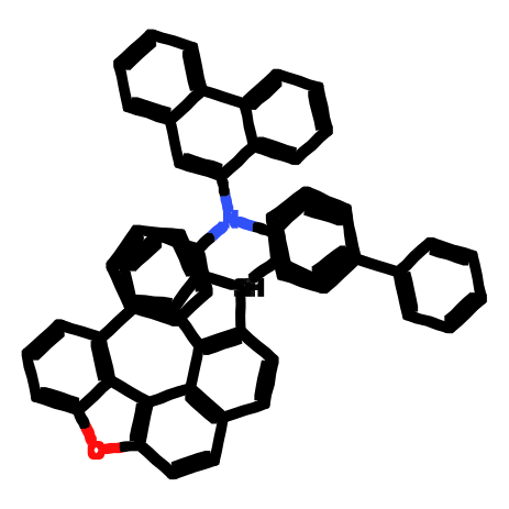 c1ccc(-c2ccc(N(c3ccc(-c4cccc5oc6ccc7ccc8c(c7c6c45)-c4ccccc4[SiH]8c4ccccc4)cc3)c3cc4ccccc4c4ccccc34)cc2)cc1